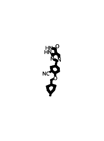 Cc1ccc(COc2ccc(-c3ncc4c(=O)[nH][nH]c4n3)cc2C#N)cc1